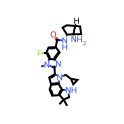 Cn1c(-c2cc3ccc4c(c3n2CC2CC2)NCC4(C)C)nc2cc(C(=O)N[C@@H]3CC[C@@H]4CC[C@]43N)cc(F)c21